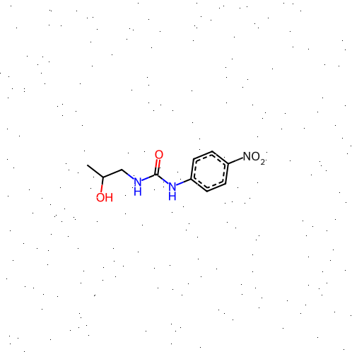 CC(O)CNC(=O)Nc1ccc([N+](=O)[O-])cc1